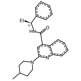 CC[C@H](NC(=O)c1cc(N2CCC(C)CC2)nc2ccccc12)c1ccccc1